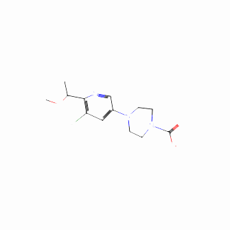 COC(C)c1ncc(N2CCN(C(=O)O)CC2)cc1Br